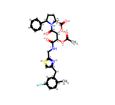 CC(=O)O[C@@H](C(=O)NCc1nc(Cc2cc(F)ccc2C)cs1)[C@@H](OC(C)=O)C(=O)N1CCCC1c1ccccc1